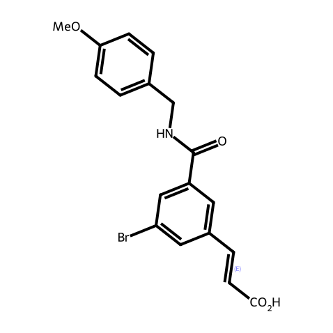 COc1ccc(CNC(=O)c2cc(Br)cc(/C=C/C(=O)O)c2)cc1